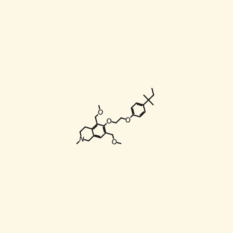 CCC(C)(C)c1ccc(OCCOc2c(COC)cc3c(c2COC)CCN(C)C3)cc1